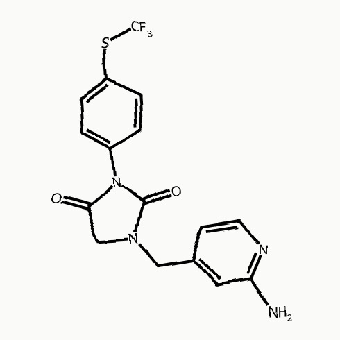 Nc1cc(CN2CC(=O)N(c3ccc(SC(F)(F)F)cc3)C2=O)ccn1